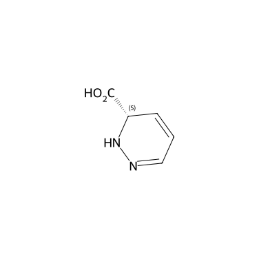 O=C(O)[C@@H]1C=CC=NN1